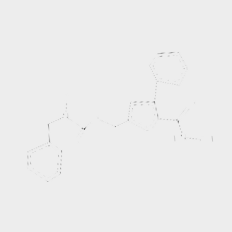 CN(Cc1ccccc1)C(=O)OCc1cc(-c2ccccc2)c(C(=O)NO)s1